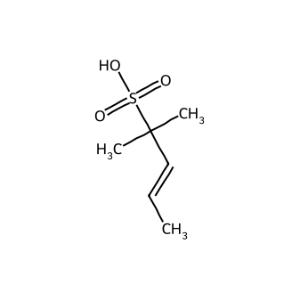 CC=CC(C)(C)S(=O)(=O)O